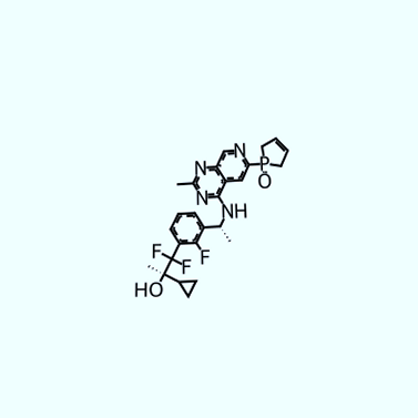 Cc1nc(N[C@H](C)c2cccc(C(F)(F)[C@](C)(O)C3CC3)c2F)c2cc(P3(=O)CC=CC3)ncc2n1